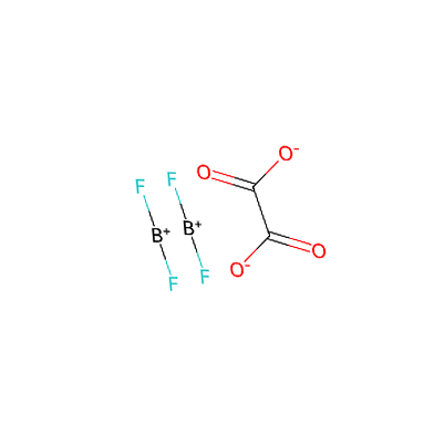 F[B+]F.F[B+]F.O=C([O-])C(=O)[O-]